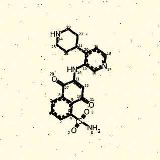 NS(=O)(=O)c1cccc2c1C(=O)C=C(Nc1cnccc1C1CCNCC1)C2=O